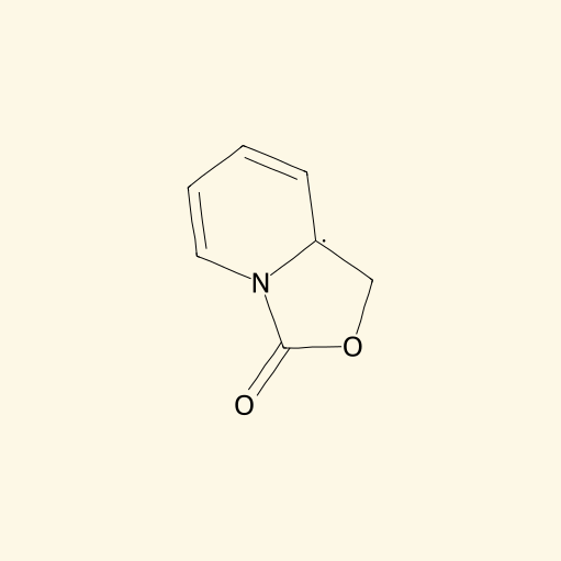 O=C1OC[C]2C=CC=CN21